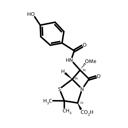 CO[C@]1(NC(=O)c2ccc(O)cc2)C(=O)N2[C@@H](C(=O)O)C(C)(C)S[C@@H]21